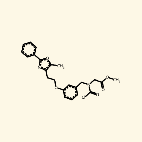 COC(=O)CN(Cc1cccc(OCCc2nc(-c3ccccc3)oc2C)c1)C(=O)Cl